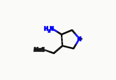 CSCC1C[N]CC1N